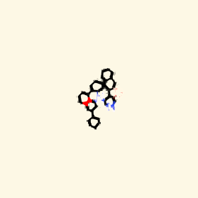 c1ccc(-c2cccc(N(c3ccccc3-c3ccccc3)c3cncc4oc5cc6ccccc6cc5c34)c2)cc1